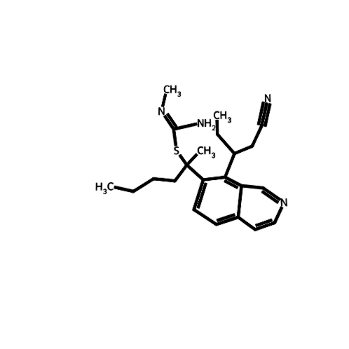 CCCCC(C)(S/C(N)=N/C)c1ccc2ccncc2c1C(CC)CC#N